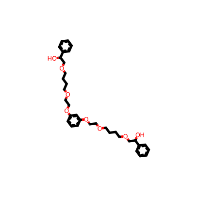 OC(COCCCCOCCOc1cccc(OCCOCCCCOCC(O)c2ccccc2)c1)c1ccccc1